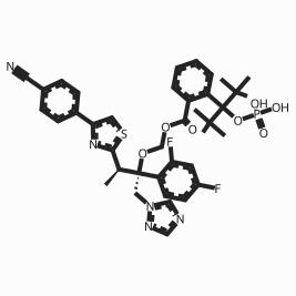 C[C@@H](c1nc(-c2ccc(C#N)cc2)cs1)[C@@](Cn1cncn1)(OCOC(=O)c1ccccc1C(OP(=O)(O)O)(C(C)(C)C)C(C)(C)C)c1ccc(F)cc1F